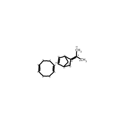 C1=CCCC=CCC1.CC(C)=C1CC2C=CC1C2